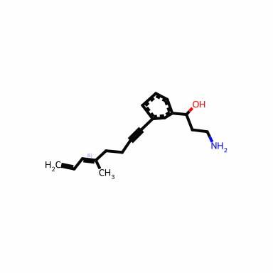 C=C/C=C(\C)CCC#Cc1cccc(C(O)CCN)c1